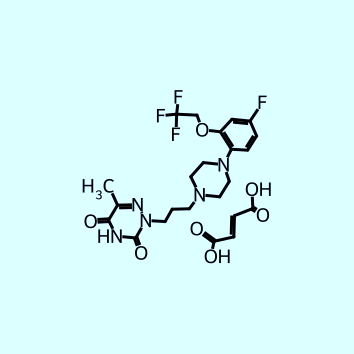 Cc1nn(CCCN2CCN(c3ccc(F)cc3OCC(F)(F)F)CC2)c(=O)[nH]c1=O.O=C(O)C=CC(=O)O